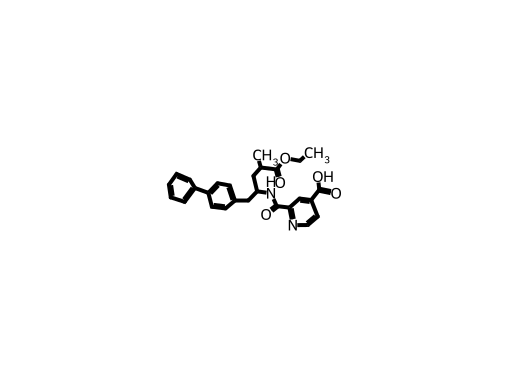 CCOC(=O)C(C)CC(Cc1ccc(-c2ccccc2)cc1)NC(=O)c1cc(C(=O)O)ccn1